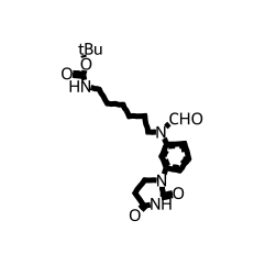 CC(C)(C)OC(=O)NCCCCCCN(C=O)c1cccc(N2CCC(=O)NC2=O)c1